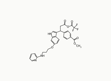 COC(=O)c1ccc(C(CC(=O)OC(=O)C(F)(F)F)c2c[nH]c3cc(OCCCNc4ccccn4)ccc23)cc1